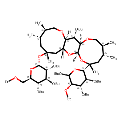 CCOC[C@H]1O[C@H](O[C@]2(C)C[C@H](C)[C@@H](C)CO[C@H]3[C@H](OCC(C)C)[C@H]4OC[C@@H](C)[C@H](C)CC(C)([C@H]5OC(OCC(C)C)[C@H](OCC)[C@@H](OCC(C)C)[C@@H]5OCC(C)C)O[C@H]4O[C@@H]3C2)[C@H](OCC(C)C)[C@@H](OCC(C)C)[C@@H]1OCC(C)C